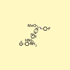 COCC(/C=C/c1ccc(F)cc1)N1CCN(c2ncc(C(=O)Nc3cc(-c4cccs4)ccc3N)cn2)CC1